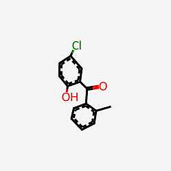 Cc1ccccc1C(=O)c1cc(Cl)ccc1O